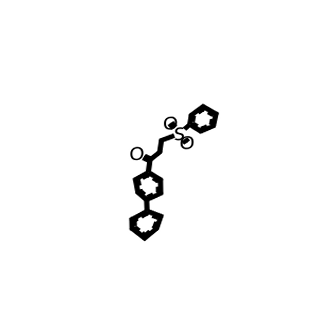 O=C(CCS(=O)(=O)c1ccccc1)c1ccc(-c2ccccc2)cc1